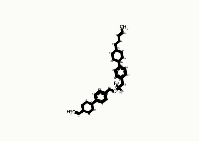 C=CC1CCC(c2ccc(COC(F)(F)Cc3ccc(C4CCC(CCC=CC)CC4)cc3)cc2)CC1